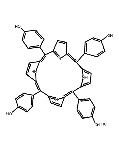 Cl.Oc1ccc(-c2c3nc(c(-c4ccc(O)cc4)c4ccc([nH]4)c(-c4ccc(O)cc4)c4nc(c(-c5ccc(O)cc5)c5ccc2[nH]5)C=C4)C=C3)cc1